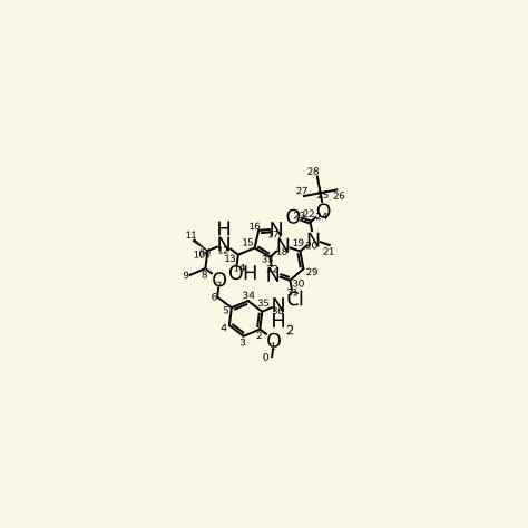 COc1ccc(COC(C)[C@@H](C)NC(O)c2cnn3c(N(C)C(=O)OC(C)(C)C)cc(Cl)nc23)cc1N